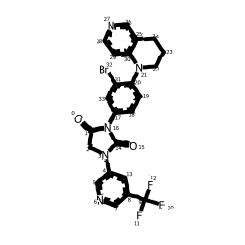 O=C1CN(c2cncc(C(F)(F)F)c2)C(=O)N1c1ccc(N2CCCc3cnccc32)c(Br)c1